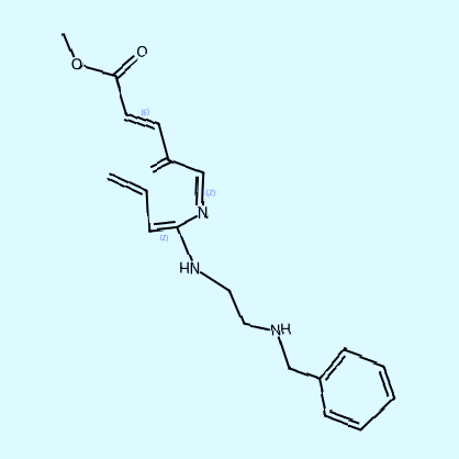 C=C/C=C(\N=C/C(=C)/C=C/C(=O)OC)NCCNCc1ccccc1